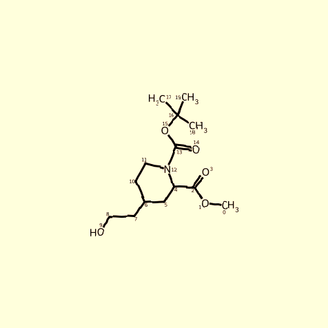 COC(=O)C1CC(CCO)CCN1C(=O)OC(C)(C)C